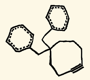 C1#CCCC(Cc2ccccc2)(Cc2ccccc2)CCC1